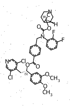 COc1ccc([C@H](Cc2c(Cl)cncc2Cl)OC(=O)c2ccc(CN(C(=O)O[C@H]3CN4CCC3CC4)c3cccc(F)c3F)cc2)cc1OC